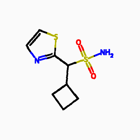 NS(=O)(=O)C(c1nccs1)C1CCC1